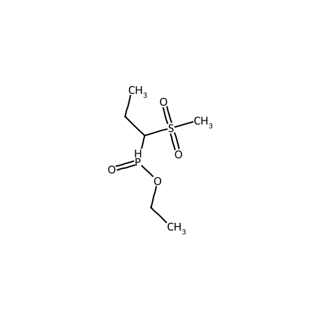 CCO[PH](=O)C(CC)S(C)(=O)=O